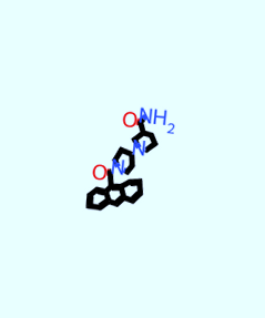 NC(=O)C1CCCN(C2CCN(C(=O)c3c4ccccc4cc4ccccc34)CC2)C1